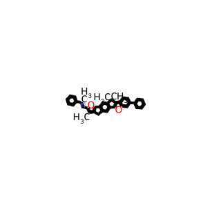 C/C(=C\c1oc2c(c1C)Cc1cc3c(cc1-2)C(C)(C)c1c-3oc2cc(-c3ccccc3)ccc12)c1ccccc1